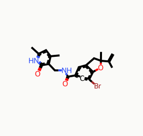 C=C(C)C1(C)Cc2cc(C(=O)NCc3c(C)cc(C)[nH]c3=O)cc(Br)c2O1